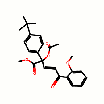 COC(=O)C(/C=C/C(=O)c1ccccc1OC)(OC(C)=O)c1ccc(C(C)(C)C)cc1